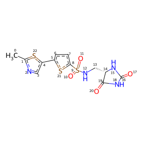 Cc1ncc(-c2ccc(S(=O)(=O)NC[C@@H]3NC(=O)NC3=O)s2)s1